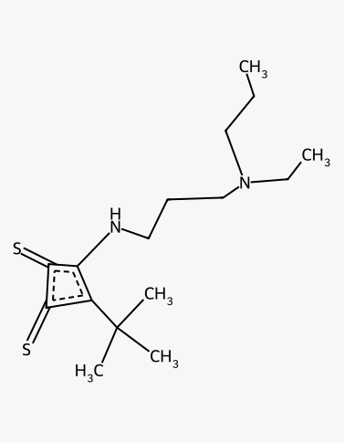 CCCN(CC)CCCNc1c(C(C)(C)C)c(=S)c1=S